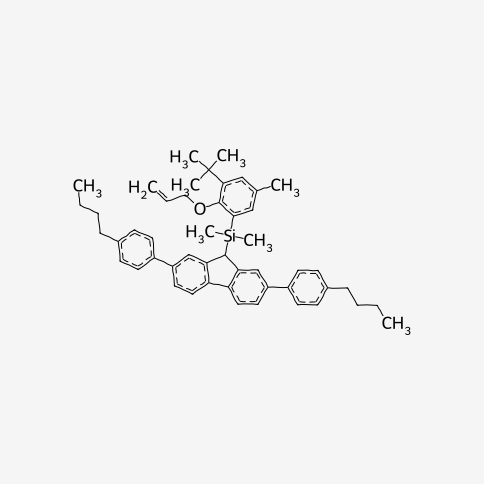 C=CCOc1c(C(C)(C)C)cc(C)cc1[Si](C)(C)C1c2cc(-c3ccc(CCCC)cc3)ccc2-c2ccc(-c3ccc(CCCC)cc3)cc21